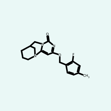 Cc1ccc(COc2cc3n(c(=O)n2)CC2CCCN3C2)c(F)c1